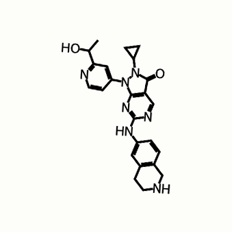 CC(O)c1cc(-n2c3nc(Nc4ccc5c(c4)CCNC5)ncc3c(=O)n2C2CC2)ccn1